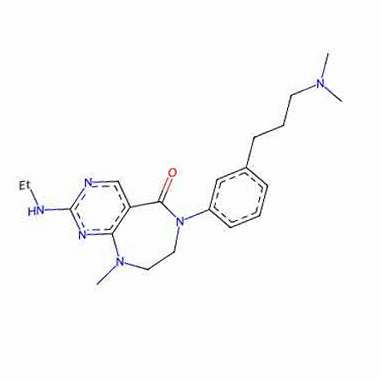 CCNc1ncc2c(n1)N(C)CCN(c1cccc(CCCN(C)C)c1)C2=O